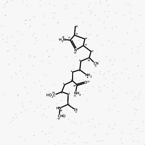 CCC(CC(CC(CC(N)CC(C#N)CC1CC(C)C(N)=N1)C(N)=O)C(=O)O)NC=O